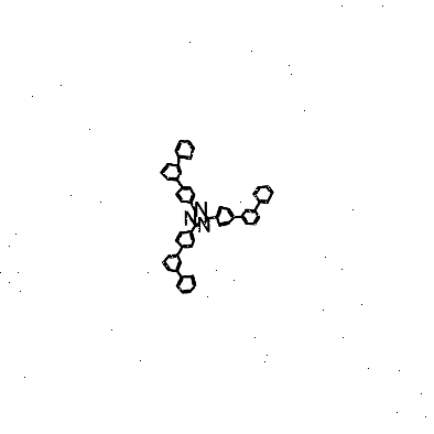 c1ccc(-c2cccc(-c3ccc(-c4nc(-c5ccc(-c6cccc(-c7ccccc7)c6)cc5)nc(-c5ccc(-c6cccc(-c7ccccc7)c6)cc5)n4)cc3)c2)cc1